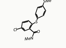 CNC(=O)c1cc(Cl)ccc1Sc1ccc(SC)cc1